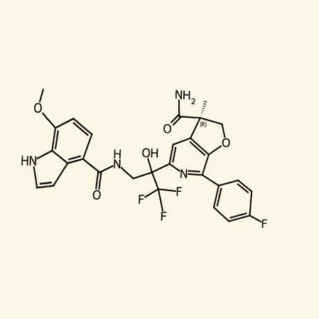 COc1ccc(C(=O)NCC(O)(c2cc3c(c(-c4ccc(F)cc4)n2)OC[C@]3(C)C(N)=O)C(F)(F)F)c2cc[nH]c12